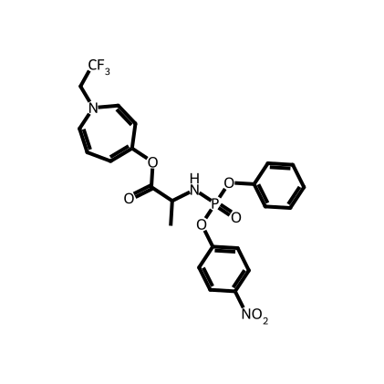 CC(NP(=O)(Oc1ccccc1)Oc1ccc([N+](=O)[O-])cc1)C(=O)OC1=CC=CN(CC(F)(F)F)C=C1